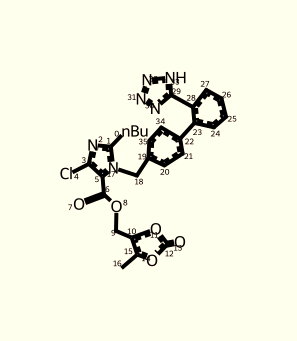 CCCCc1nc(Cl)c(C(=O)OCc2oc(=O)oc2C)n1Cc1ccc(-c2ccccc2-c2nnn[nH]2)cc1